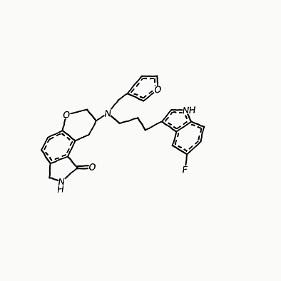 O=C1NCc2ccc3c(c21)CC(N(CCCc1c[nH]c2ccc(F)cc12)Cc1ccoc1)CO3